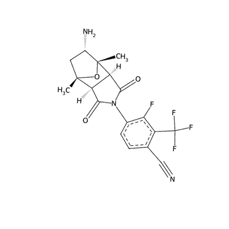 C[C@@]12O[C@@](C)(C[C@@H]1N)[C@@H]1C(=O)N(c3ccc(C#N)c(C(F)(F)F)c3F)C(=O)[C@@H]12